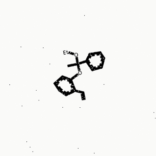 C=Cc1ccccc1OC(C)(OCC)c1ccccc1